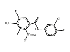 Cc1c(F)cc(C(=O)Nc2ccc(F)c(Cl)c2)c([N+](=O)[O-])c1F